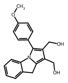 COc1ccc(-c2c(CO)c(CO)c3n2-c2ccccc2C3)cc1